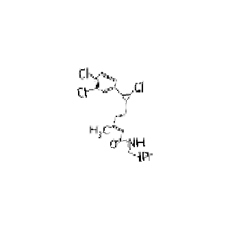 CC(C=CC1C(Cl)C1c1ccc(Cl)c(Cl)c1)=CC(=O)NCC(C)C